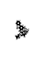 O=S(=O)(CF)N[C@@H]1[C@H](Cc2cc(F)cc(-c3ccccc3)c2F)N(CC2(F)CC2)CC12CC2